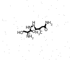 C[C@@H](CC(N)=O)C1NNC([C@@H](N)CO)O1